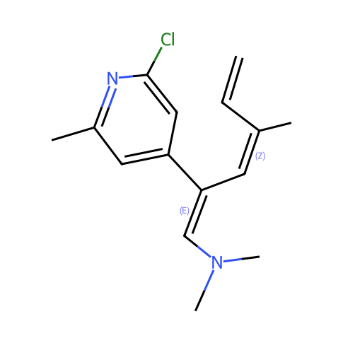 C=C/C(C)=C\C(=C/N(C)C)c1cc(C)nc(Cl)c1